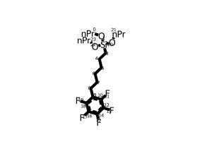 CCCO[Si](CCCCCCc1c(F)c(F)c(F)c(F)c1F)(OCCC)OCCC